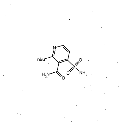 CCCCc1nccc(S(N)(=O)=O)c1C(N)=O